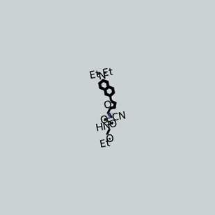 CCOCCNS(=O)(=O)/C(C#N)=C/c1ccc(-c2ccc3cc(N(CC)CC)ccc3c2)o1